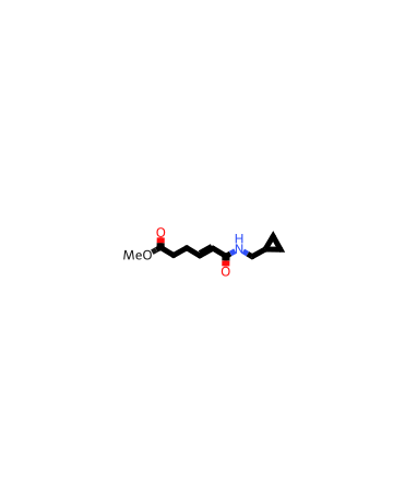 COC(=O)CC/C=C/C(=O)NCC1CC1